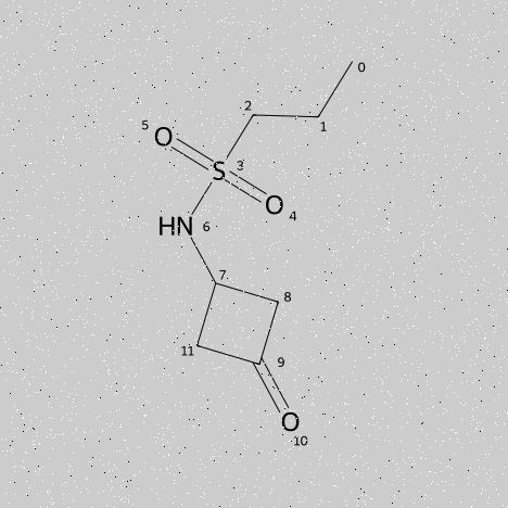 CCCS(=O)(=O)NC1CC(=O)C1